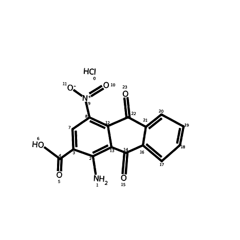 Cl.Nc1c(C(=O)O)cc([N+](=O)[O-])c2c1C(=O)c1ccccc1C2=O